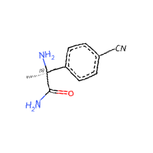 C[C@@](N)(C(N)=O)c1ccc(C#N)cc1